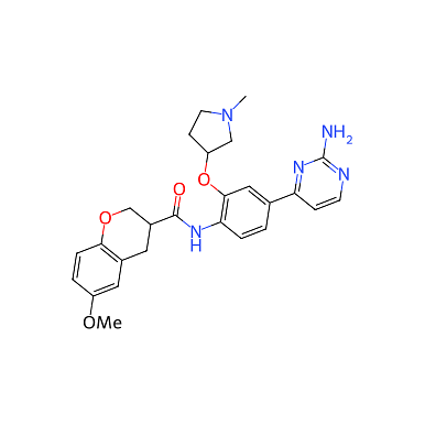 COc1ccc2c(c1)CC(C(=O)Nc1ccc(-c3ccnc(N)n3)cc1OC1CCN(C)C1)CO2